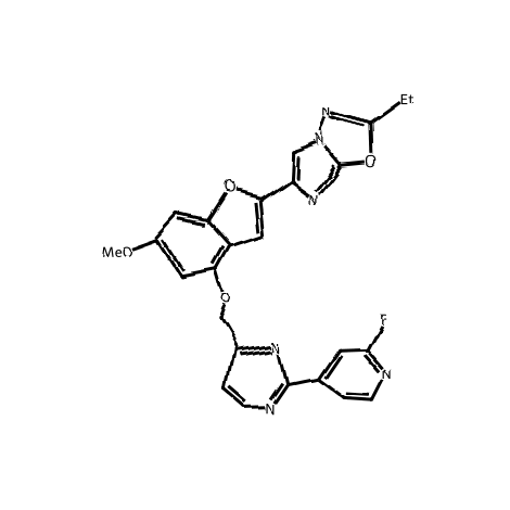 CCc1nn2cc(-c3cc4c(OCc5ccnc(-c6ccnc(F)c6)n5)cc(OC)cc4o3)nc2o1